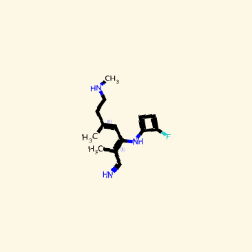 CNCC/C(C)=C/C(NC1=CC=C1F)=C(\C)C=N